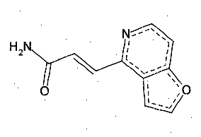 NC(=O)/C=C/c1nccc2occc12